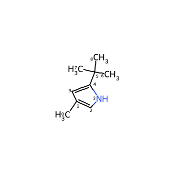 Cc1c[nH]c(C(C)(C)C)c1